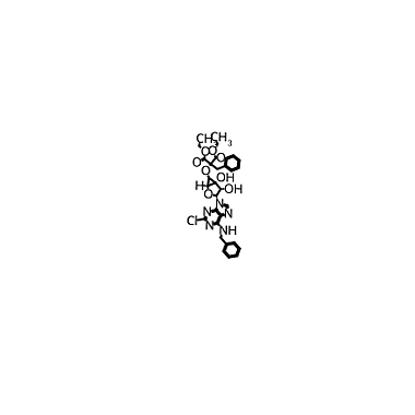 CCOC(=O)C(Cc1ccccc1)(OC1[C@H]2O[C@@H](n3cnc4c(NCc5ccccc5)nc(Cl)nc43)[C@H](O)[C@@]12O)C(=O)OCC